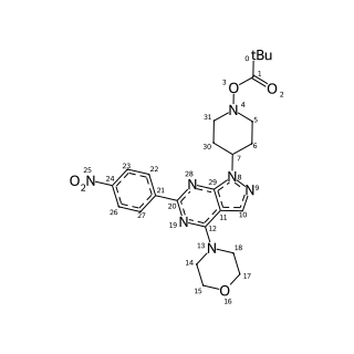 CC(C)(C)C(=O)ON1CCC(n2ncc3c(N4CCOCC4)nc(-c4ccc([N+](=O)[O-])cc4)nc32)CC1